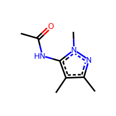 CC(=O)Nc1c(C)c(C)nn1C